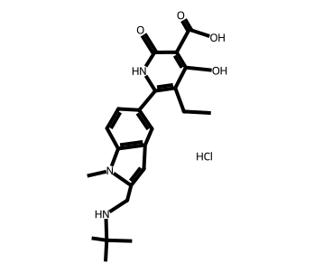 CCc1c(-c2ccc3c(c2)cc(CNC(C)(C)C)n3C)[nH]c(=O)c(C(=O)O)c1O.Cl